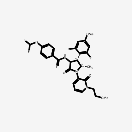 COCCn1cccc(N2C(=O)C(NC(=O)c3ccc(OC(F)F)cc3)[C@H](c3c(F)cc(OC)cc3F)[C@@H]2C)c1=O